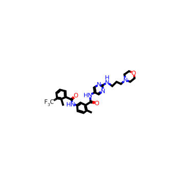 Cc1ccc(NC(=O)c2cccc(C(F)(F)F)c2C)cc1C(=O)Nc1cnc(NCCCN2CCOCC2)nc1